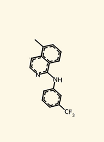 Cc1cccc2c(Nc3cccc(C(F)(F)F)c3)nc[c]c12